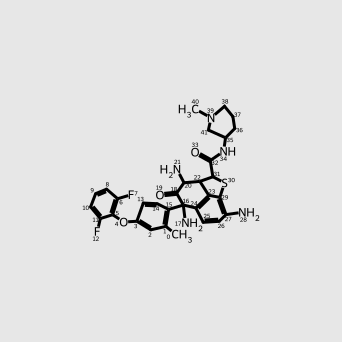 Cc1cc(Oc2c(F)cccc2F)ccc1C1(N)C(=O)C(N)C2c3c1ccc(N)c3SC2C(=O)NC1CCCN(C)C1